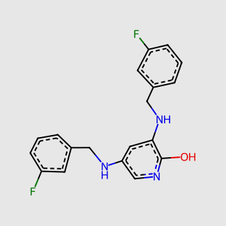 Oc1ncc(NCc2cccc(F)c2)cc1NCc1cccc(F)c1